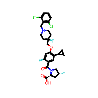 O=C(O)[C@@H]1C[C@@H](F)CN1C(=O)c1cc(C2CC2)c(OCC2(F)CCN(Cc3c(Cl)cccc3Cl)CC2)cc1F